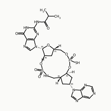 CC(C)C(=O)Nc1nc2c(ncn2[C@@H]2O[C@@H]3COP(=O)(S)O[C@H]4C[C@H](n5cnc6cncnc65)C[C@@H]4CNS(=O)(=O)O[C@@H]2C3)c(=O)[nH]1